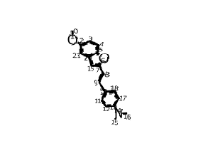 COc1ccc2oc(C=Cc3ccc(N(C)C)cc3)cc2c1